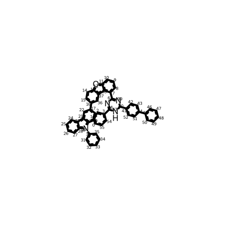 c1ccc(C2=NC(c3cccc4oc5ccc(-c6ccc7c(c6)c6ccccc6n7-c6ccccc6)cc5c34)=NC(c3ccc(-c4ccccc4)cc3)N2)cc1